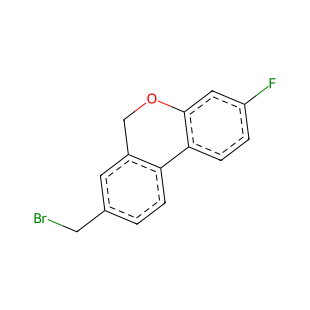 Fc1ccc2c(c1)OCc1cc(CBr)ccc1-2